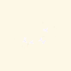 CC(C)NC(=O)N1CC(n2cc(C(C)NC(C)C)cn2)C1